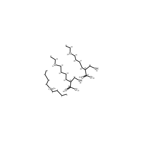 CCC[CH2][Sn+2][CH2]CCC.CCOCCCCC(CS)C(=O)[O-].CCOCCCCC(CS)C(=O)[O-]